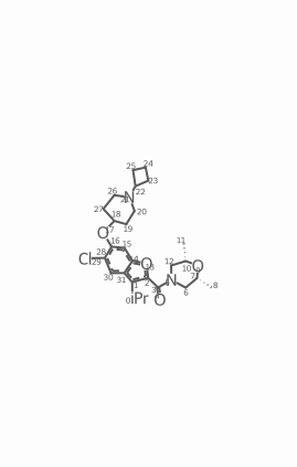 CC(C)c1c(C(=O)N2C[C@@H](C)O[C@@H](C)C2)oc2cc(OC3CCN(C4CCC4)CC3)c(Cl)cc12